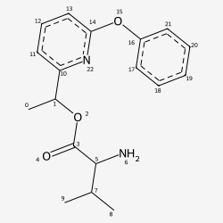 CC(OC(=O)C(N)C(C)C)c1cccc(Oc2ccccc2)n1